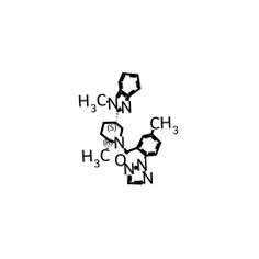 Cc1ccc(-n2nccn2)c(C(=O)N2C[C@@H](c3nc4ccccc4n3C)CC[C@H]2C)c1